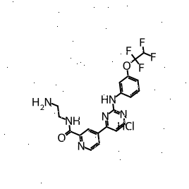 Cl.NCCNC(=O)c1cc(-c2ccnc(Nc3cccc(OC(F)(F)C(F)F)c3)n2)ccn1